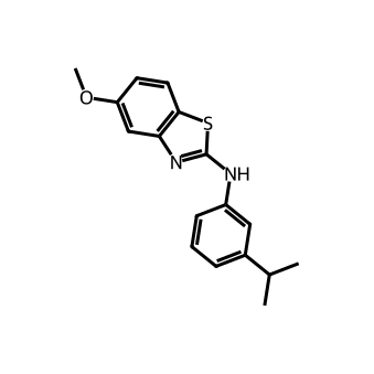 COc1ccc2sc(Nc3cccc(C(C)C)c3)nc2c1